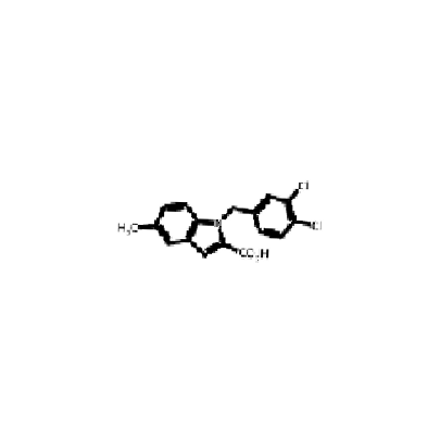 Cc1ccc2c(c1)cc(C(=O)O)n2Cc1ccc(Cl)c(Cl)c1